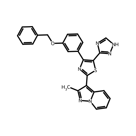 Cc1nn2ccccc2c1-c1nc(-c2cccc(OCc3ccccc3)c2)c(-c2nc[nH]n2)s1